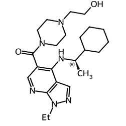 CCn1ncc2c(N[C@H](C)C3CCCCC3)c(C(=O)N3CCN(CCO)CC3)cnc21